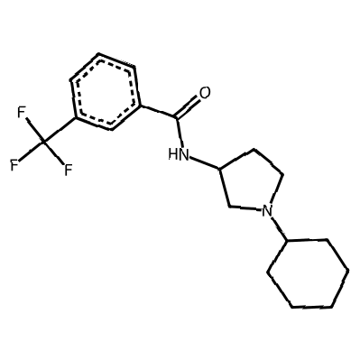 O=C(NC1CCN(C2CCCCC2)C1)c1cccc(C(F)(F)F)c1